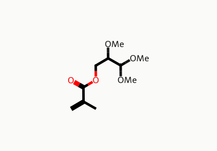 C=C(C)C(=O)OCC(OC)[C](OC)OC